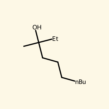 CCCCCCCC(C)(O)CC